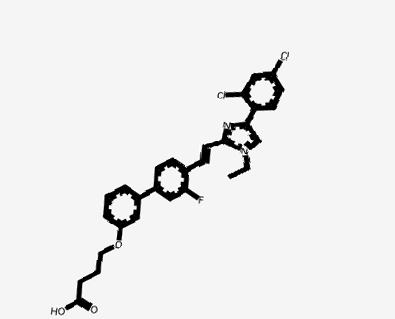 CCn1cc(-c2ccc(Cl)cc2Cl)nc1/C=C/c1ccc(-c2cccc(OCCCC(=O)O)c2)cc1F